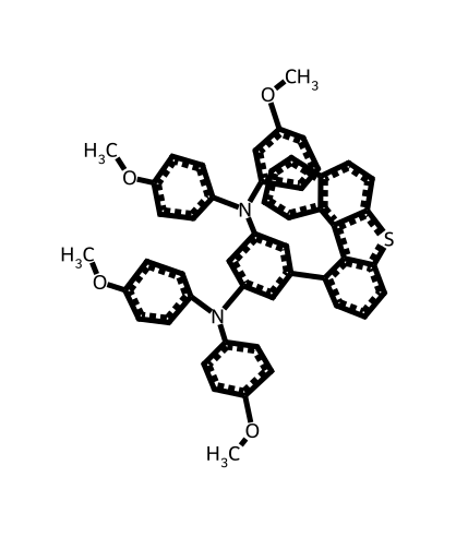 COc1ccc(N(c2ccc(OC)cc2)c2cc(-c3cccc4sc5ccc6ccccc6c5c34)cc(N(c3ccc(OC)cc3)c3cccc(OC)c3)c2)cc1